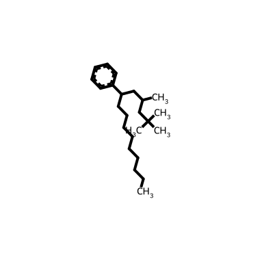 CCCCCCCCC[C](CC(C)CC(C)(C)C)c1ccccc1